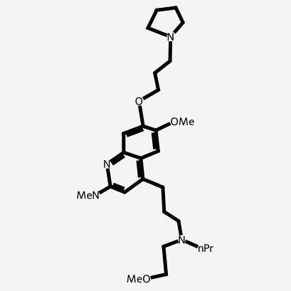 CCCN(CCCc1cc(NC)nc2cc(OCCCN3CCCC3)c(OC)cc12)CCOC